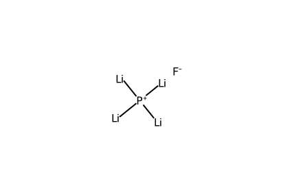 [F-].[Li][P+]([Li])([Li])[Li]